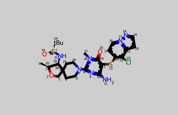 C[C@@H]1OCC2(CCN(c3nc(N)c(Sc4ccn5nccc5c4Cl)c(=O)n3C)CC2)[C@@H]1N[S@+]([O-])C(C)(C)C